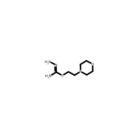 NN=C(N)SCCN1CCOCC1